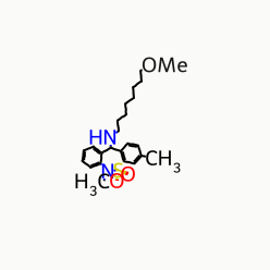 COCCCCCCCCNC1c2ccccc2N(C)S(=O)(=O)c2cc(C)ccc21